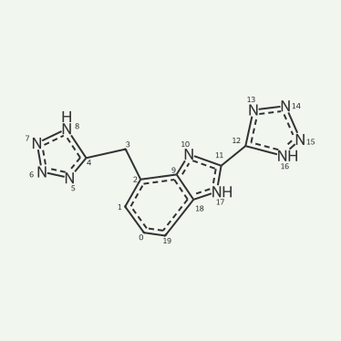 c1cc(Cc2nnn[nH]2)c2nc(-c3nnn[nH]3)[nH]c2c1